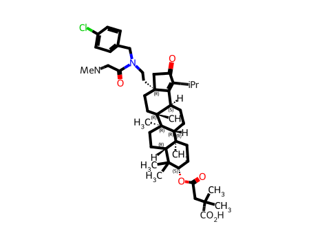 CNCC(=O)N(CC[C@@]12CC[C@]3(C)[C@H](CC[C@@H]4[C@@]5(C)CC[C@H](OC(=O)CC(C)(C)C(=O)O)C(C)(C)[C@@H]5CC[C@]43C)C1=C(C(C)C)C(=O)C2)Cc1ccc(Cl)cc1